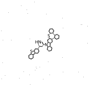 C1=C(c2ccc3c(c2)sc2ccccc23)CNC=C1n1c2ccccc2c2cc3c(cc21)Sc1ccccc1-c1ccccc1-3